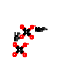 [Li+].[Li+].[Mn+2].[O]=[Cr](=[O])([O-])[O-].[O]=[Cr](=[O])([O-])[O-]